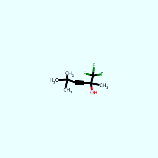 CC(C)(C)C#CC(C)(O)C(F)(F)F